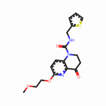 COCCOc1ccc2c(n1)C(=O)CCN2C(=O)NCc1cccs1